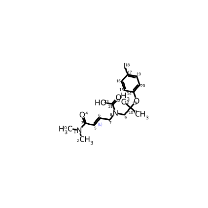 CN(C)C(=O)/C=C/CN(CC(C)(C)Oc1ccc(I)cc1)C(=O)O